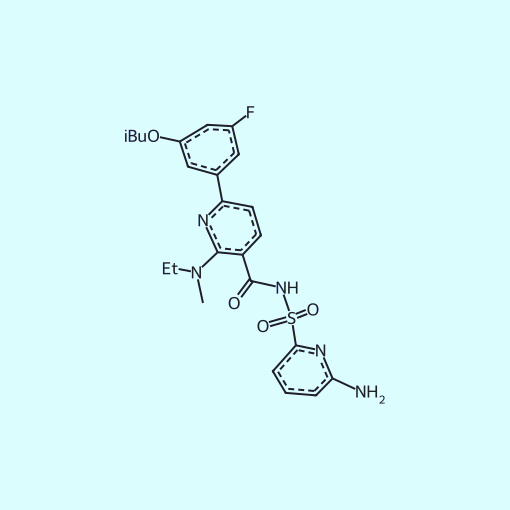 CCN(C)c1nc(-c2cc(F)cc(OCC(C)C)c2)ccc1C(=O)NS(=O)(=O)c1cccc(N)n1